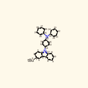 CC(C)(C)c1ccc2c(c1)c1ccccc1n2-c1ccc(N(c2ccccc2)c2ccccc2)cc1